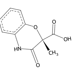 C[C@]1(C(=O)O)Oc2ccccc2NC1=O